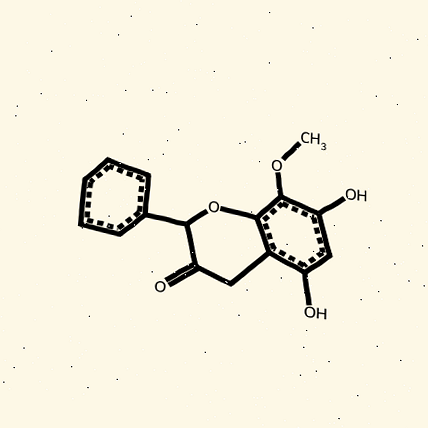 COc1c(O)cc(O)c2c1OC(c1ccccc1)C(=O)C2